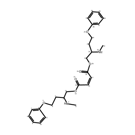 CNC(CCOc1ccccc1)COC(=O)/C=C\C(=O)OCC(CCOc1ccccc1)NC